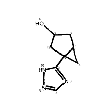 OC1CC2CC2(c2ncn[nH]2)C1